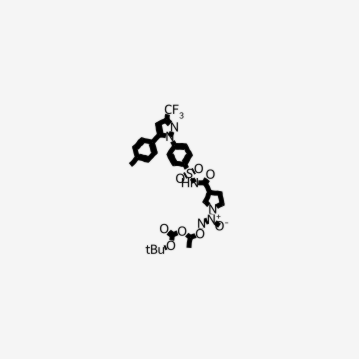 Cc1ccc(-c2cc(C(F)(F)F)nn2-c2ccc(S(=O)(=O)NC(=O)C3CCN([N+]([O-])=NOC(C)OC(=O)OC(C)(C)C)C3)cc2)cc1